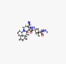 CCCN1CCC(C#N)(NC(=O)[CH]CC(C)(C)C(N)=O)CC1CC1CCCCC1